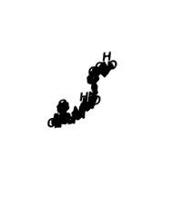 Cc1cc(-c2ncc(N(C)c3cc(C4CCOCC4)c4c(c3)n(C)c(=O)n4C)cn2)cnc1C(=O)NCC#Cc1ccc2occ(C34CC(C3)C(=O)NC4=O)c2c1